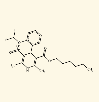 CCCCCCOC(=O)C1=C(C)NC(C)=C([N+](=O)[O-])C1c1ccccc1OC(F)F